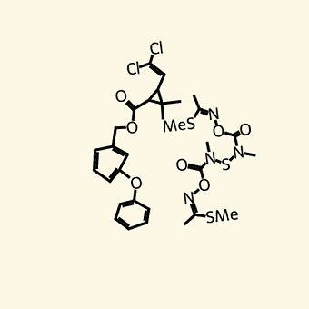 CC1(C)C(C=C(Cl)Cl)C1C(=O)OCc1cccc(Oc2ccccc2)c1.CS/C(C)=N\OC(=O)N(C)SN(C)C(=O)O/N=C(/C)SC